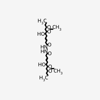 CCCCCC(OC(=O)CC)C(O)C/C=C/CC(=O)NCNC(=O)C/C=C/CC(O)C(CCCCC)OC(=O)CC